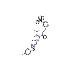 CCC(/C=N/Sc1ccc(C)cc1)=C\C(C(=O)CCc1cccc([N+](=O)[O-])c1)=C(/C)C(C)C